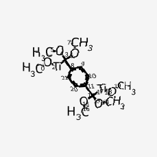 C[O][Ti][C](OC)(OC)c1ccc([C](OC)(OC)[Ti][O]C)cc1